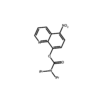 CC(C)N(C(=O)Oc1ccc([N+](=O)[O-])c2cccnc12)C(C)C